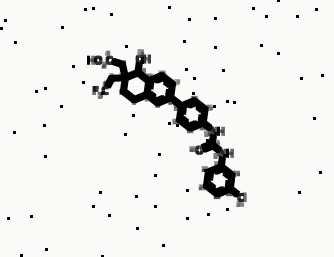 O=C(O)CC1(CC(F)(F)F)CCc2cc(-c3ccc(NC(=O)Nc4cccc(Cl)c4)cc3)ccc2C1O